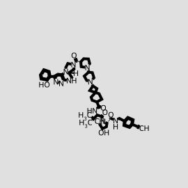 C#Cc1ccc(CNC(=O)[C@@H]2C[C@@H](O)CN2C(=O)[C@@H](NC(=O)C2CCC3(CC2)CC(N2CCC(N4CCC[C@@H](C(=O)N5CCN6c7cc(-c8ccccc8O)nnc7NC[C@H]6C5)C4)CC2)C3)C(C)(C)C)cc1